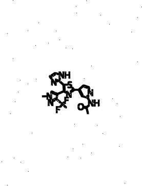 CC(=O)Nc1cc(-c2nc(-c3cn(C)nc3C(C)(F)F)c(-c3ncc[nH]3)s2)ccn1